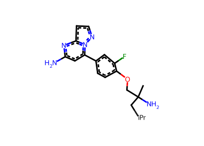 CC(C)CC(C)(N)COc1ccc(-c2cc(N)nc3ccnn23)cc1F